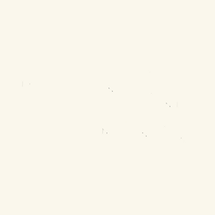 O=c1[nH]c(=O)c2nc3cc(O)ccc3nc2[nH]1